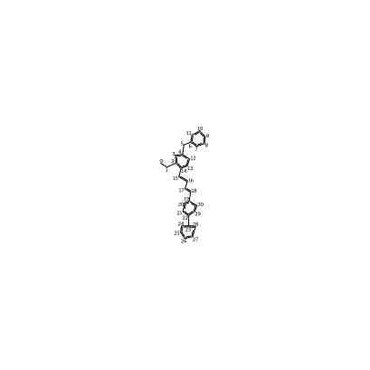 CCc1cc(Cc2ccccc2)ccc1C=CC=Cc1ccc(-c2ccccc2)cc1